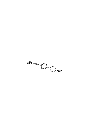 CCCC#Cc1ccc([C@H]2CC[C@H](CCC)CC2)cc1